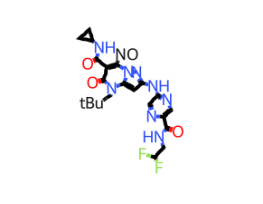 CC(C)(C)Cn1c(=O)c(C(=O)NC2CC2)c(N=O)n2nc(Nc3cnc(C(=O)NCC(F)F)cn3)cc12